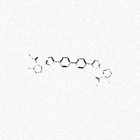 C[C@@H]1CC[C@H](c2ncc(-c3ccc(-c4ccc(-c5cnc([C@H]6CC[C@@H](C)N6C(=O)OC(C)(C)C)[nH]5)cc4)cc3)[nH]2)N1C(=O)OC(C)(C)C